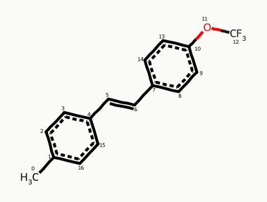 Cc1ccc(/C=C/c2ccc(OC(F)(F)F)cc2)cc1